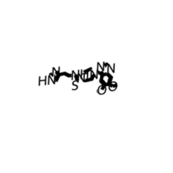 COc1cc2ncnc(N3CCN(C(=S)NCCc4c[nH]cn4)CC3)c2cc1OC